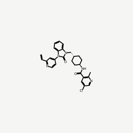 C=Cc1cc(-n2c(=O)n(C[C@H]3CC[C@H](NC(=O)c4cc(Cl)cnc4C)CC3)c3ccccc32)ccn1